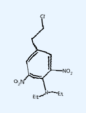 CCN(CC)c1c([N+](=O)[O-])cc(CCCl)cc1[N+](=O)[O-]